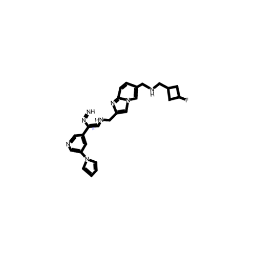 N=N/C(=C\NCc1cn2cc(CNCC3CC(F)C3)ccc2n1)c1cncc(-n2cccc2)c1